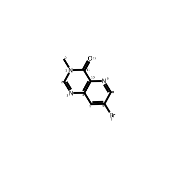 Cn1cnc2cc(Br)cnc2c1=O